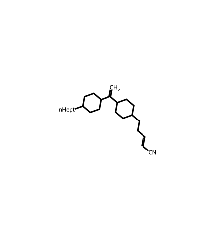 C=C(C1CCC(CCC=CC#N)CC1)C1CCC(CCCCCCC)CC1